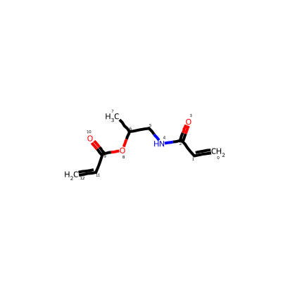 C=CC(=O)NCC(C)OC(=O)C=C